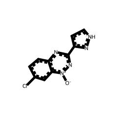 [O-][n+]1nc(-c2cc[nH]n2)nc2ccc(Cl)cc21